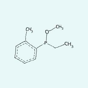 CCP(OC)c1ccccc1C